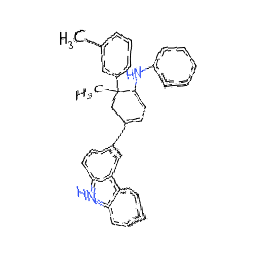 Cc1cccc(C2(C)CC(c3ccc4[nH]c5ccccc5c4c3)=CC=C2Nc2ccccc2)c1